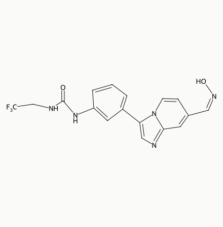 O=C(NCC(F)(F)F)Nc1cccc(-c2cnc3cc(/C=N\O)ccn23)c1